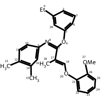 CCc1cccc(OC(=Nc2ccc(C)c(C)c2)C(C)=COc2ccccc2OC)c1